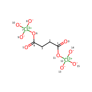 O=C(CCC(=O)O[Cl+3]([O-])([O-])[O-])O[Cl+3]([O-])([O-])[O-]